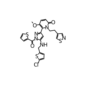 COc1ccc(=O)n(CCc2cnsc2)c1-c1cc(NCc2ccc(Cl)s2)n(C(=O)c2cccs2)n1